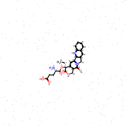 CC[C@@]1(OC(=O)[C@@H](N)CCC(=O)O)C(=O)OCc2c1cc1n(c2=O)Cc2cc3ccccc3nc2-1